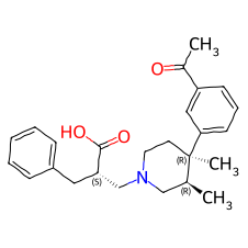 CC(=O)c1cccc([C@]2(C)CCN(C[C@H](Cc3ccccc3)C(=O)O)C[C@@H]2C)c1